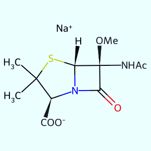 CO[C@@]1(NC(C)=O)C(=O)N2[C@@H](C(=O)[O-])C(C)(C)S[C@@H]21.[Na+]